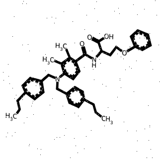 CCCc1ccc(CN(Cc2ccc(CCC)cc2)c2ccc(C(=O)NC(CCOc3ccccc3)C(=O)O)c(C)c2C)cc1